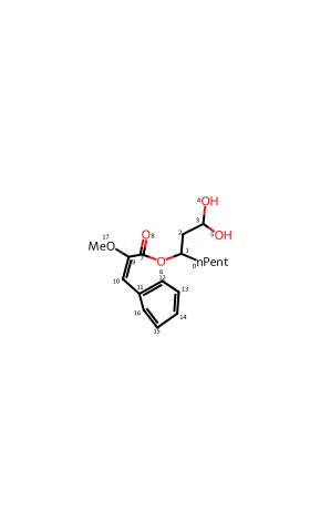 CCCCCC(CC(O)O)OC(=O)C(=Cc1ccccc1)OC